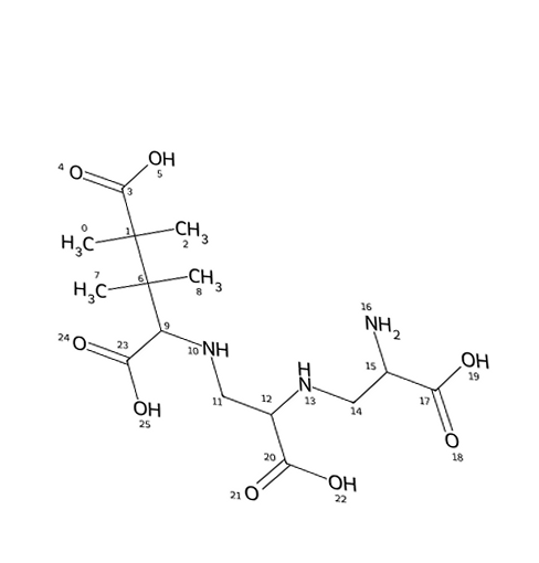 CC(C)(C(=O)O)C(C)(C)C(NCC(NCC(N)C(=O)O)C(=O)O)C(=O)O